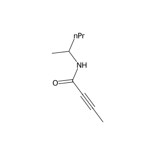 CC#CC(=O)NC(C)CCC